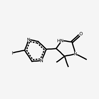 CN1C(=O)NC(c2cnc(I)cn2)C1(C)C